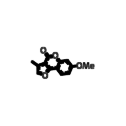 COc1ccc2c(c1)oc(=O)c1c(C)coc12